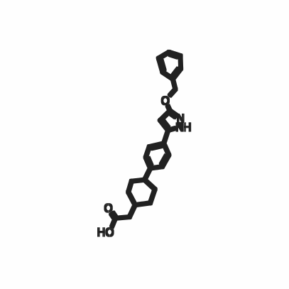 O=C(O)CC1CCC(c2ccc(-c3cc(OCc4ccccc4)n[nH]3)cc2)CC1